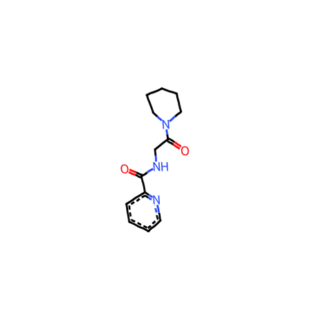 O=C(NCC(=O)N1CCCCC1)c1ccccn1